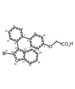 O=C(O)COc1ccc(-c2ccccc2-c2c(Br)oc3ccccc23)cc1